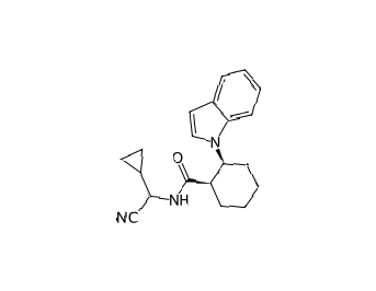 N#CC(NC(=O)[C@@H]1CCCC[C@@H]1n1ccc2ccccc21)C1CC1